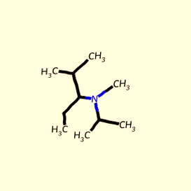 CCC(C(C)C)N(C)C(C)C